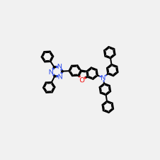 c1ccc(-c2ccc(N(c3cccc(-c4ccccc4)c3)c3ccc4c(c3)oc3cc(-c5nc(-c6ccccc6)nc(-c6ccccc6)n5)ccc34)cc2)cc1